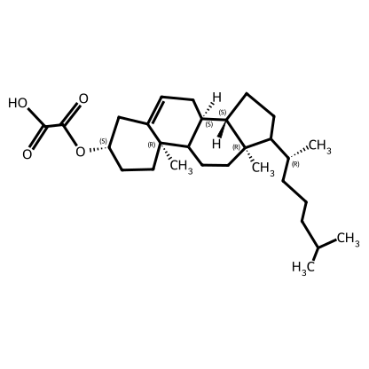 CC(C)CCC[C@@H](C)C1CC[C@H]2[C@@H]3CC=C4C[C@@H](OC(=O)C(=O)O)CC[C@]4(C)C3CC[C@]12C